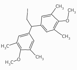 COc1c(C)cc(C(CI)c2cc(C)c(OC)c(C)c2)cc1C